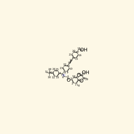 Cc1cc(OC/C=C(\c2ccc(C#Cc3ccc(CO)cc3)cc2)c2ccc(C(C)(C)C)cc2)ccc1OC(C)C(=O)O